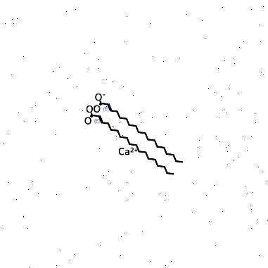 CCCCCCCCCCCCCCC/C=C/C(=O)[O-].CCCCCCCCCCCCCCC/C=C/C(=O)[O-].[Ca+2]